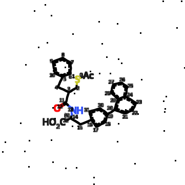 CC(=O)SCC(Cc1ccccc1)C(=O)N[C@@H](Cc1ccc(-c2cccc3ccccc23)cc1)C(=O)O